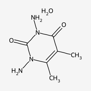 Cc1c(C)n(N)c(=O)n(N)c1=O.O